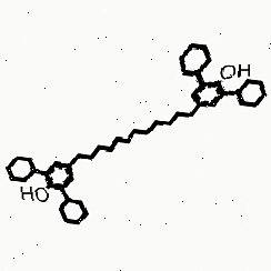 Oc1c(C2CCCCC2)cc(CCCCCCCCCCCCc2cc(C3CCCCC3)c(O)c(C3CCCCC3)c2)cc1C1CCCCC1